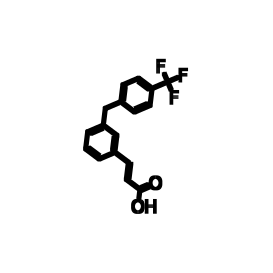 O=C(O)/C=C/c1cccc(Cc2ccc(C(F)(F)F)cc2)c1